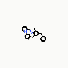 Cc1cc(Cc2ccccc2)cc(Cc2ccccc2)c1N=Cc1ccccn1